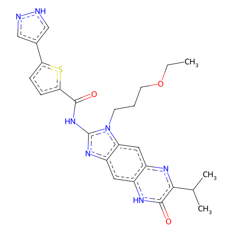 CCOCCCn1c(NC(=O)c2ccc(-c3cn[nH]c3)s2)nc2cc3[nH]c(=O)c(C(C)C)nc3cc21